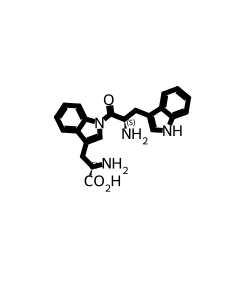 N[C@@H](Cc1cn(C(=O)[C@@H](N)Cc2c[nH]c3ccccc23)c2ccccc12)C(=O)O